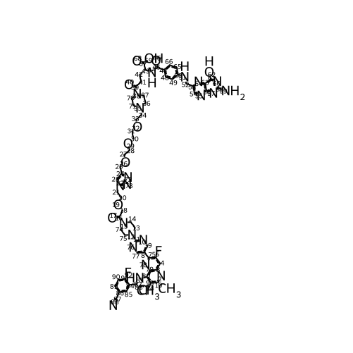 Cc1nc2cc(F)c(-c3cnc(N4CCN(C(=O)COCCn5cc(COCCOCCOCCN6CCN(C(=O)CC[C@H](NC(=O)c7ccc(NCc8cnc9nc(N)nc(O)c9n8)cc7)C(=O)O)CC6)nn5)CC4)nc3)nc2c(N[C@H](C)c2cc(C#N)ccc2F)c1Cl